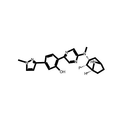 CN(c1cnc(-c2ccc(-c3ccn(C)n3)cc2O)cn1)[C@@H]1CC2CC[C@H](N2)[C@@H]1F